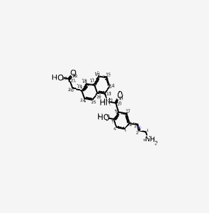 NC/C=C/c1ccc(O)c(C(=O)Nc2cccc3cc(CC(=O)O)ccc23)c1